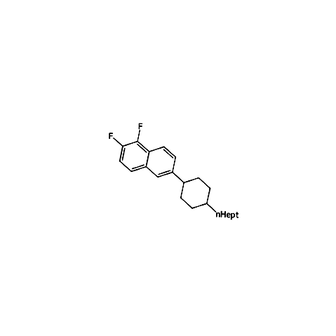 CCCCCCCC1CCC(c2ccc3c(F)c(F)ccc3c2)CC1